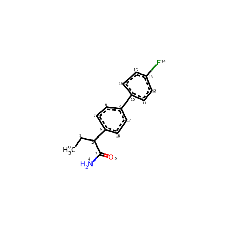 CCC(C(N)=O)c1ccc(-c2ccc(F)cc2)cc1